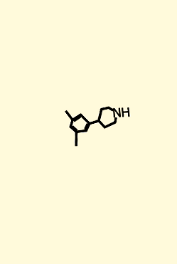 Cc1cc(C)cc(C2CCNCC2)c1